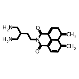 C=C1C=CC2=C3C(=CCC(=C)C13)C(=O)N(CCC(CN)CN)C2=O